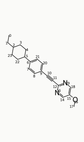 CCC1CCC(c2ccc(C#Cc3ncc(OC)cn3)cc2)CC1